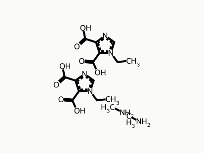 CCn1cnc(C(=O)O)c1C(=O)O.CCn1cnc(C(=O)O)c1C(=O)O.CN.CN